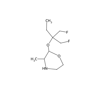 CCC(CF)(CF)OC1OCCNC1C